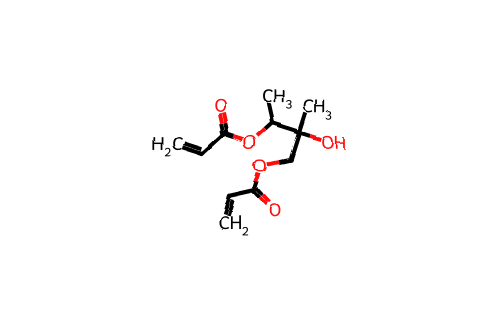 C=CC(=O)OCC(C)(O)C(C)OC(=O)C=C